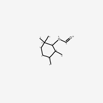 CC1CCC(C)(C)C(OC=O)C1C